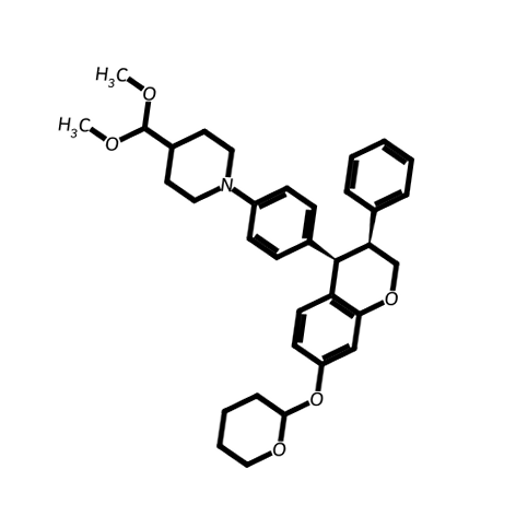 COC(OC)C1CCN(c2ccc([C@@H]3c4ccc(OC5CCCCO5)cc4OC[C@@H]3c3ccccc3)cc2)CC1